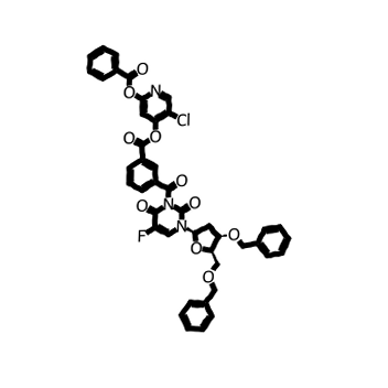 O=C(Oc1cc(OC(=O)c2cccc(C(=O)n3c(=O)c(F)cn([C@H]4C[C@H](OCc5ccccc5)[C@@H](COCc5ccccc5)O4)c3=O)c2)c(Cl)cn1)c1ccccc1